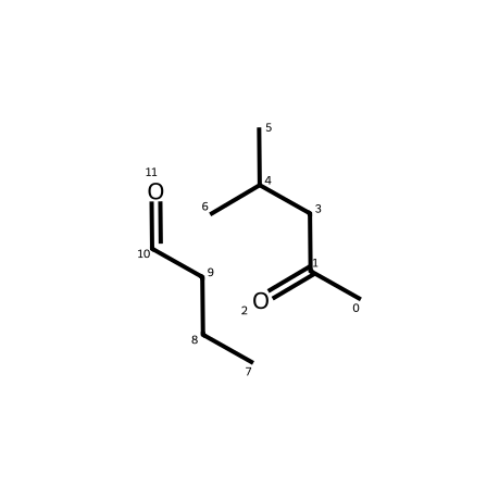 CC(=O)CC(C)C.CCCC=O